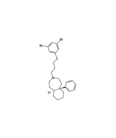 Brc1cc(Br)cc(SCCCN2CC[C@@H]3CCCC[C@@]3(c3ccccc3)CC2)c1